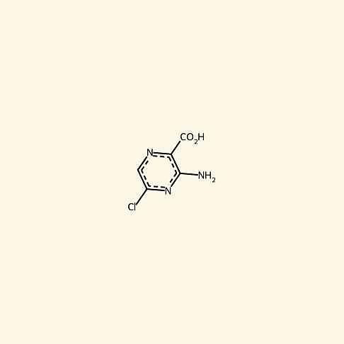 Nc1nc(Cl)cnc1C(=O)O